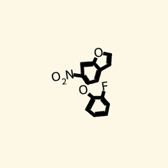 O=[N+]([O-])c1cc2occc2cc1Oc1ccccc1F